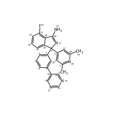 Cc1cc(C2(c3cccc(-c4cncnc4)c3)N=C(N)c3c(F)cccc32)cc(C)n1